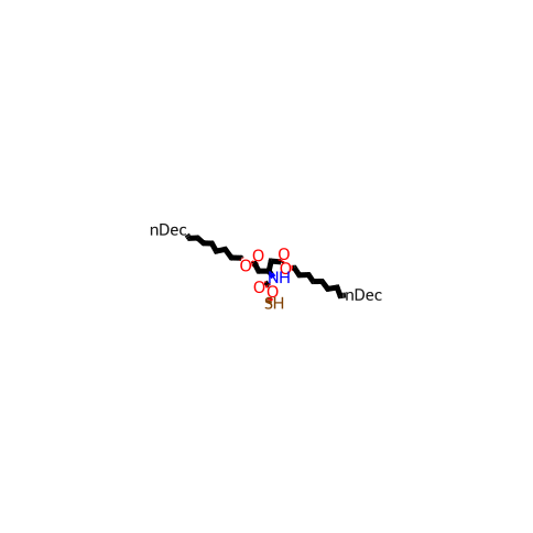 CCCCCCCCCCCCCCCCCCOC(=O)CC(CC(=O)OCCCCCCCCCCCCCCCCCC)NC(=O)OS